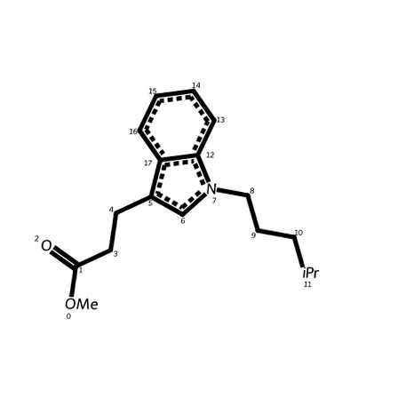 COC(=O)CCc1cn(CCCC(C)C)c2ccccc12